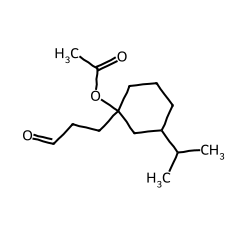 CC(=O)OC1(CCC=O)CCCC(C(C)C)C1